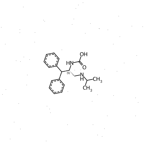 CC(C)NC[C@@H](NC(=O)O)C(c1ccccc1)c1ccccc1